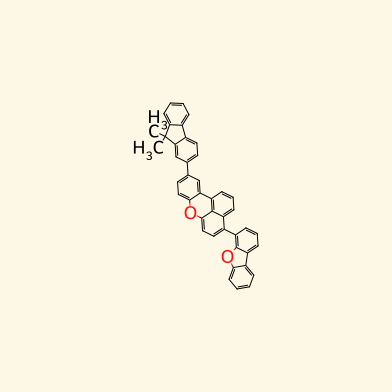 CC1(C)c2ccccc2-c2ccc(-c3ccc4c(c3)-c3cccc5c(-c6cccc7c6oc6ccccc67)ccc(c35)O4)cc21